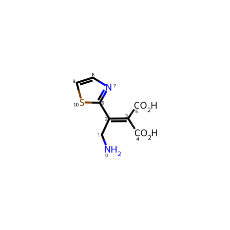 NCC(=C(C(=O)O)C(=O)O)c1nccs1